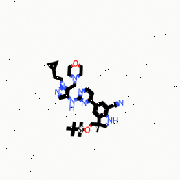 CC(C)(C)[Si](C)(C)OC[C@@]1(C)CNc2c(C#N)cc(-c3ccnc(Nc4cnn(CCC5CC5)c4CN4CCOCC4)n3)cc21